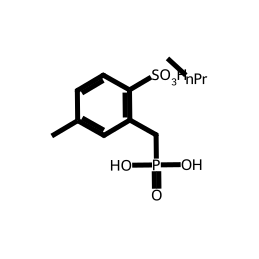 CCCC.Cc1ccc(S(=O)(=O)O)c(CP(=O)(O)O)c1